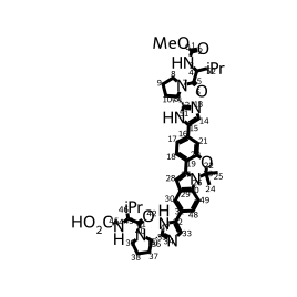 COC(=O)NC(C(=O)N1CCC[C@H]1c1ncc(-c2ccc3c(c2)OC(C)(C)n2c-3cc3cc(-c4cnc([C@@H]5CCCN5C(=O)C(NC(=O)O)C(C)C)[nH]4)ccc32)[nH]1)C(C)C